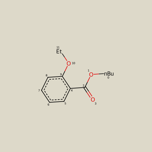 CCCCOC(=O)c1ccccc1OCC